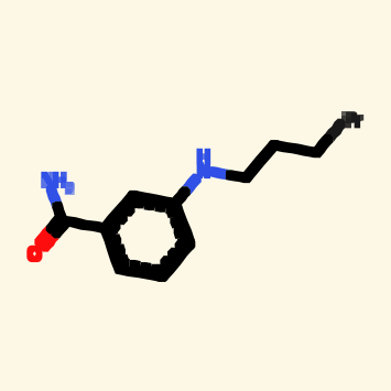 CC(C)CCCNc1cccc(C(N)=O)c1